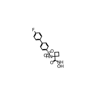 O=C(NO)C1(NS(=O)(=O)c2ccc(-c3ccc(F)cc3)cc2)CCC1